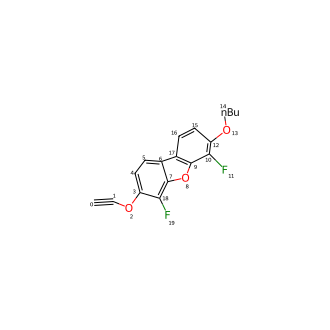 C#COc1ccc2c(oc3c(F)c(OCCCC)ccc32)c1F